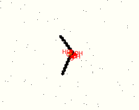 CCCCCCCCCCCCCC(C(=O)O)C(CCCCCCCCCCCCC)(C(=O)O)S(=O)(=O)O